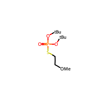 COCCSP(=O)(OC(C)(C)C)OC(C)(C)C